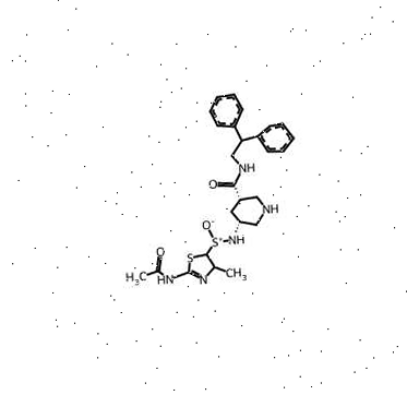 CC(=O)NC1=NC(C)C([S+]([O-])N[C@H]2CNC[C@@H](C(=O)NCC(c3ccccc3)c3ccccc3)C2)S1